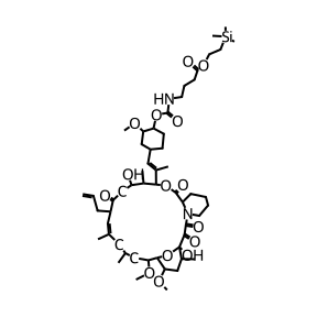 C=CCC1C=C(C)CC(C)CC(OC)C2OC(O)(C(=O)C(=O)N3CCCCC3C(=O)OC(C(C)=CC3CCC(OC(=O)NCCCC(=O)OCC[Si](C)(C)C)C(OC)C3)C(C)C(O)CC1=O)C(C)CC2OC